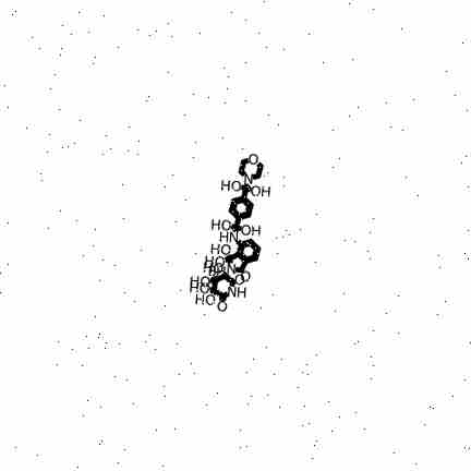 BC1(O)C(O)(O)C(=O)NC(=O)C1(O)N1C(=O)c2cccc(NC(O)(O)c3ccc(C(O)(O)N4CCOCC4)cc3)c2C1(O)O